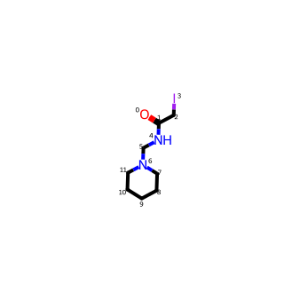 O=C(CI)NCN1CCCCC1